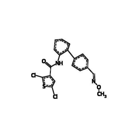 CON=Cc1ccc(-c2ccccc2NC(=O)c2cc(Cl)sc2Cl)cc1